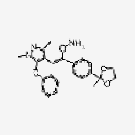 Cc1nn(C)c(Oc2ccccc2)c1C=C(ON)c1ccc(C2(C)OCCO2)cc1